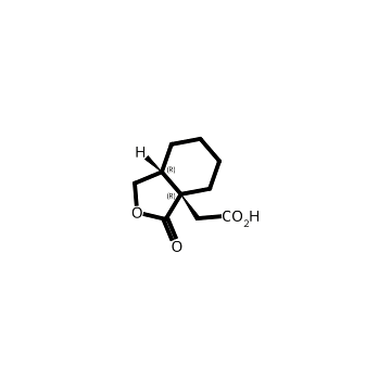 O=C(O)C[C@]12CCCC[C@H]1COC2=O